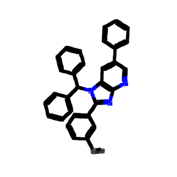 COc1cccc(-c2nc3ncc(-c4ccccc4)cc3n2C(c2ccccc2)c2ccccc2)c1